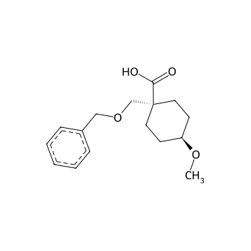 CO[C@H]1CC[C@@](COCc2ccccc2)(C(=O)O)CC1